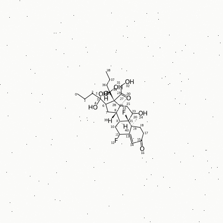 CCCC(O)(O)C1C[C@H]2[C@@H]3CC(F)C4=CC(=O)CC[C@]4(C)[C@@]3(F)C(O)C[C@]2(C)[C@]1(C(=O)CO)C(O)(O)CCC